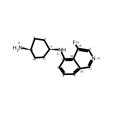 N[C@H]1CC[C@@H](Nc2cccc3cncc(F)c23)CC1